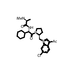 CN[C@@H](C)C(=O)N[C@H](C(=O)N1CCC[C@H]1Cn1cc(C(C)=O)c2ccc(Cl)cc21)C1CCCCC1